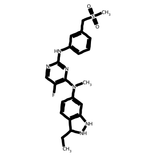 CCC1NNc2cc(N(C)c3nc(Nc4cccc(CS(C)(=O)=O)c4)ncc3F)ccc21